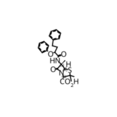 CC1(C)S[C@H]2N(C(=O)[C@]2(C)NC(=O)C(CCc2ccccc2)Oc2ccccc2)[C@H]1C(=O)O